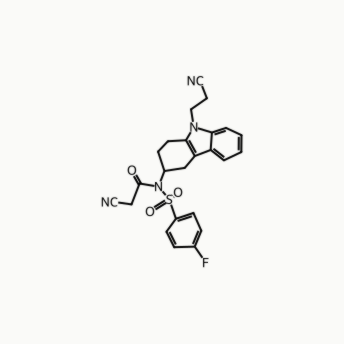 N#CCCn1c2c(c3ccccc31)CC(N(C(=O)CC#N)S(=O)(=O)c1ccc(F)cc1)CC2